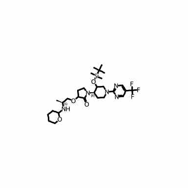 C[C@@H](COC1CCN([C@@H]2CCN(c3ncc(C(F)(F)F)cn3)CC2O[Si](C)(C)C(C)(C)C)C1=O)NC1CCCCO1